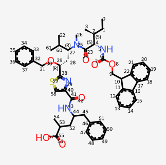 CC[C@H](C)[C@H](NC(=O)OCC1c2ccccc2-c2ccccc21)C(=O)N(C)[C@H](C[C@@H](OCc1ccccc1)c1nc(C(=O)NC(Cc2ccccc2)CC(C)C(=O)O)cs1)C(C)C